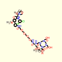 COc1cc2c(cc1-c1cccc(NC(=O)CCOCCOCCOCCOCCNC(=O)[C@@H](CCC(=O)OC(C)(C)C)NC(=O)CN3CCN(CC(=O)O)CCN(CC(=O)O)CCN(CC(=O)O)CC3)c1)-c1c(c(C(=O)N3CCOCC3(C)C)nn1-c1cc(Cl)cc(Cl)c1)CO2